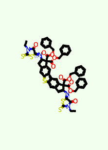 CCN1C(=O)/C(=N/C2=Cc3cc4sc5cc6c(cc5c4cc3C2(C(=O)OCc2ccccc2)C(=O)OCc2ccccc2)C(C(=O)OCc2ccccc2)(C(=O)OCc2ccccc2)C(/N=C2\SC(=S)N(CC)C2=O)=C6)SC1=S